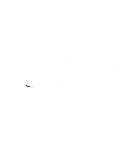 N#Cc1ccc(N2CC3C[C@@H]3C[C@@H]2[C@@H](O)C(F)(F)F)cc1C(F)(F)F